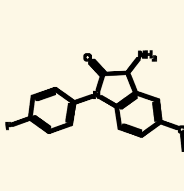 COc1ccc2c(c1)C(N)C(=O)N2c1ccc(F)cc1